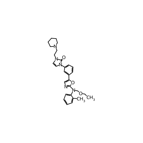 CCOCN(c1ncc(-c2cccc(-n3ccn(CCN4CCCCC4)c3=O)c2)o1)c1ccccc1C